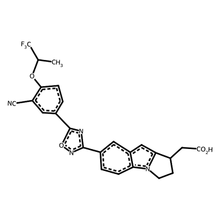 CC(Oc1ccc(-c2nc(-c3ccc4c(c3)cc3n4CCC3CC(=O)O)no2)cc1C#N)C(F)(F)F